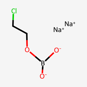 [Na+].[Na+].[O-]B([O-])OCCCl